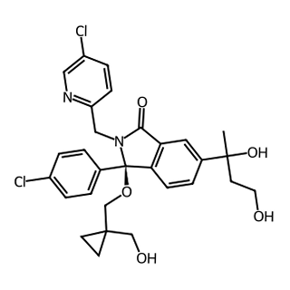 CC(O)(CCO)c1ccc2c(c1)C(=O)N(Cc1ccc(Cl)cn1)[C@@]2(OCC1(CO)CC1)c1ccc(Cl)cc1